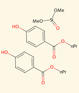 CCCOC(=O)c1ccc(O)cc1.CCCOC(=O)c1ccc(O)cc1.CO[Si](=O)OC